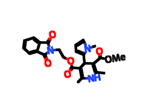 COC(=O)C1=C(C)NC(C)=C(C(=O)OCCN2C(=O)c3ccccc3C2=O)C1c1cccn1C